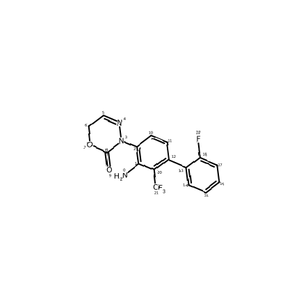 Nc1c(N2N=CCOC2=O)ccc(-c2ccccc2F)c1C(F)(F)F